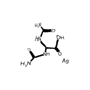 NC(=O)NC(NC(N)=O)C(=O)O.[Ag]